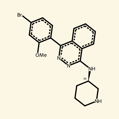 COc1cc(Br)ccc1-c1nnc(N[C@@H]2CCCNC2)c2ccccc12